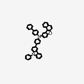 c1ccc(-c2ccc(N(c3ccc(-c4ccc5c(c4)c4ccccc4n5-c4ccccc4)cc3)c3ccc4oc5ccc6ccccc6c5c4c3)cc2)cc1